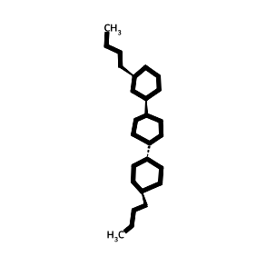 CCCC[C@H]1CCC[C@@H](C2CCC([C@H]3CC[C@H](CCCC)CC3)CC2)C1